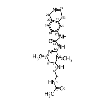 CC(=O)NCCNC1CC(C)=NC(NC(=O)Nc2ccc3c(c2)CC=NC3)N1C